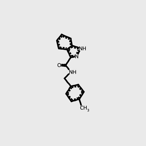 Cc1ccc(CNC(=O)c2n[nH]c3ccccc23)cc1